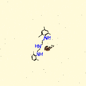 Cc1cc(C)c(NCCNCCNc2c(C)cccc2C)c(C)c1.[Br-].[Br-].[Co+2]